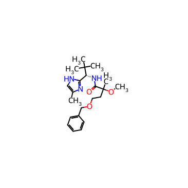 COC(C)(CCOCc1ccccc1)C(=O)N[C@H](c1nc(C)c[nH]1)C(C)(C)C